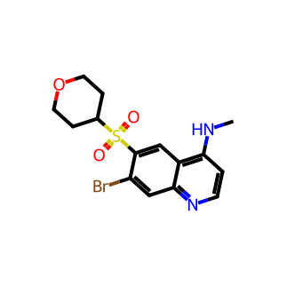 CNc1ccnc2cc(Br)c(S(=O)(=O)C3CCOCC3)cc12